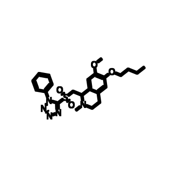 CCCCOc1cc2c(cc1OC)C(CS(=O)(=O)c1nnnn1-c1ccccc1)N(C)CC2